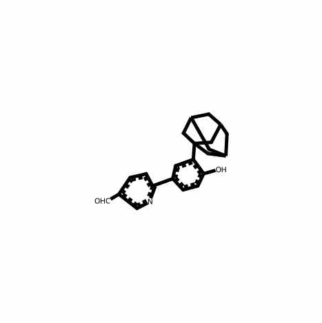 O=Cc1ccc(-c2ccc(O)c(C34CC5CC(CC(C5)C3)C4)c2)nc1